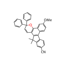 COc1ccc2c3c(c4c(c2c1)OC(c1ccccc1)(c1ccccc1)C=C4)C(C)(C)c1cc(C#N)ccc1-3